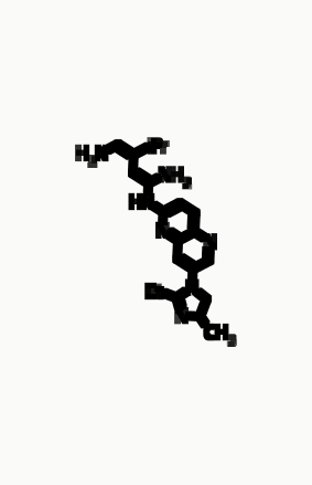 CCC1=NC(C)CN1c1cnc2ccc(N/C(N)=C/C(=C\N)C(C)C)nc2c1